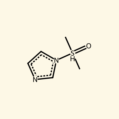 C[SH](C)(=O)n1ccnc1